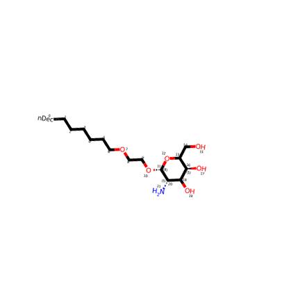 CCCCCCCCCCCCCCCCOCCO[C@@H]1OC(CO)[C@@H](O)C(O)[C@@H]1N